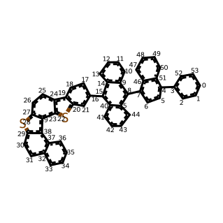 c1ccc(-c2ccc(-c3c4ccccc4c(-c4ccc5c(c4)sc4c5ccc5sc6ccc7ccccc7c6c54)c4ccccc34)c3ccccc23)cc1